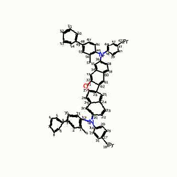 Cc1cc(-c2ccccc2)ccc1N(c1ccc(C(C)C)cc1)c1ccc2cc3c(cc2c1)oc1cc2cc(N(c4ccc(C(C)C)cc4)c4ccc(-c5ccccc5)cc4C)ccc2cc13